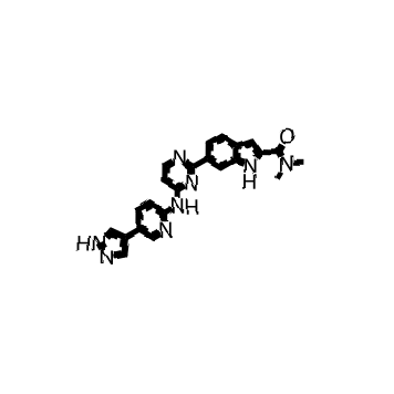 CN(C)C(=O)c1cc2ccc(-c3nccc(Nc4ccc(-c5cn[nH]c5)cn4)n3)cc2[nH]1